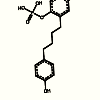 O=P(O)(O)Oc1ccc(O)cc1CCCCc1ccc(O)cc1